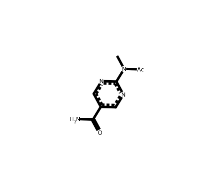 CC(=O)N(C)c1ncc(C(N)=O)cn1